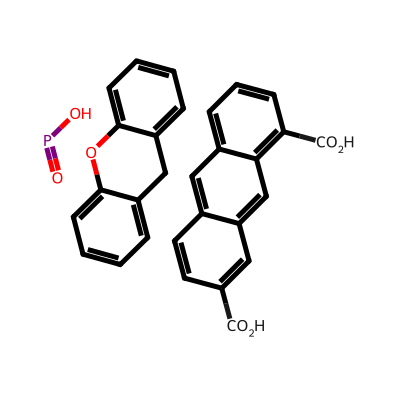 O=C(O)c1ccc2cc3cccc(C(=O)O)c3cc2c1.O=PO.c1ccc2c(c1)Cc1ccccc1O2